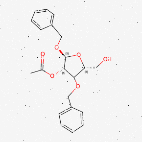 CC(=O)O[C@H]1C(OCc2ccccc2)[C@@H](CO)O[C@@H]1OCc1ccccc1